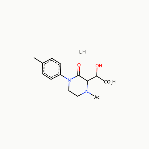 CC(=O)N1CCN(c2ccc(C)cc2)C(=O)C1C(O)C(=O)O.[LiH]